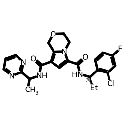 CC[C@@H](NC(=O)c1cc(C(=O)NC(C)c2ncccn2)c2n1CCOC2)c1ccc(F)cc1Cl